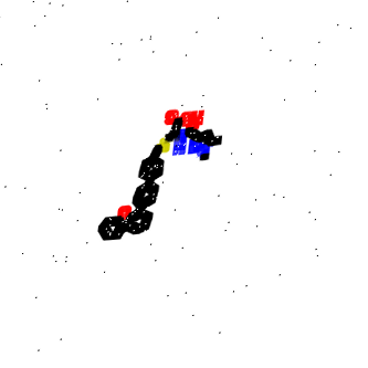 Cc1cc(C(=O)N[C@@H](CSCc2ccc(-c3ccc(-c4cccc5c4oc4ccccc45)cc3)cc2)C(=O)O)nn1C